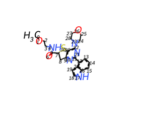 COCCNC(=O)C1Cc2nc(-c3cccc4[nH]ccc34)nc(N3CCOCC3)c2S1